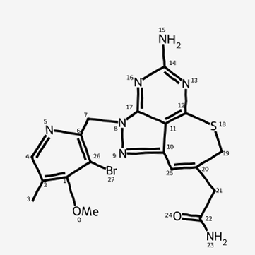 COc1c(C)cnc(Cn2nc3c4c(nc(N)nc42)SCC(CC(N)=O)=C3)c1Br